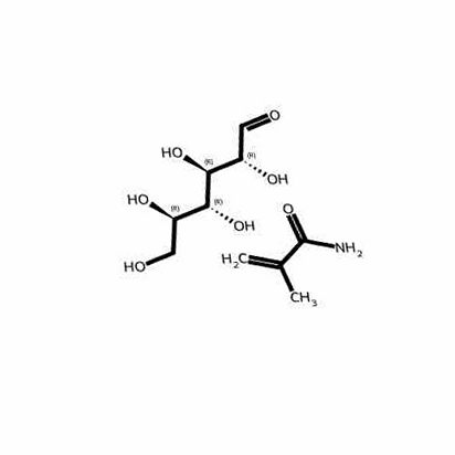 C=C(C)C(N)=O.O=C[C@H](O)[C@H](O)[C@H](O)[C@H](O)CO